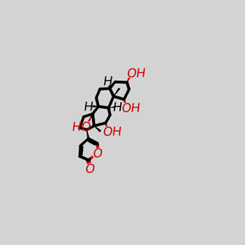 C[C@]12[C@H](CC[C@@H]3[C@@H]1C[C@@H](O)[C@]1(C)[C@@H](c4ccc(=O)oc4)CC[C@]31O)C[C@@H](O)C[C@H]2O